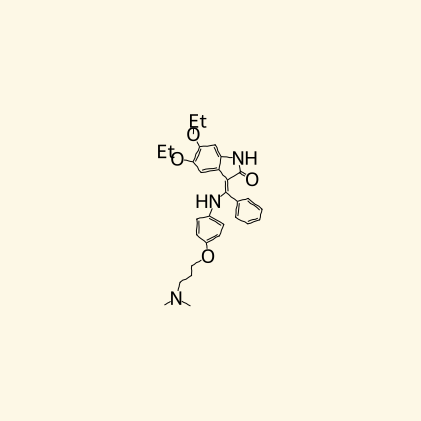 CCOc1cc2c(cc1OCC)/C(=C(\Nc1ccc(OCCCN(C)C)cc1)c1ccccc1)C(=O)N2